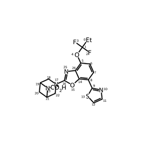 CCC(F)(F)Oc1ccc(-c2nccs2)c2oc(N3CC4CC(C3)N4C(=O)O)nc12